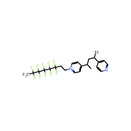 CCC(CC(C)c1cc[n+](CCC(F)(F)C(F)(F)C(F)(F)C(F)(F)C(F)(F)C(F)(F)F)cc1)c1ccncc1